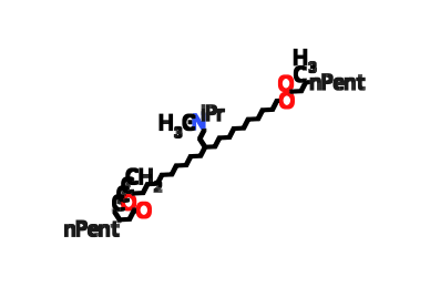 C=C=C=C=CC(CCCCC)CC(=O)OCCCCCCCCCCC(CCCCCCCCCCOC(=O)CC(C)CCCCC)CCN(C)C(C)C